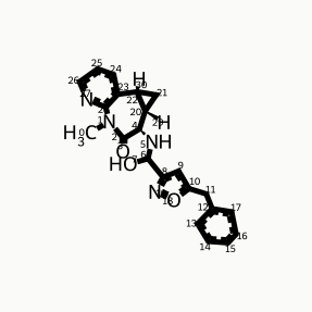 CN1C(=O)[C@@H](NC(O)c2cc(Cc3ccccc3)on2)[C@H]2C[C@H]2c2cccnc21